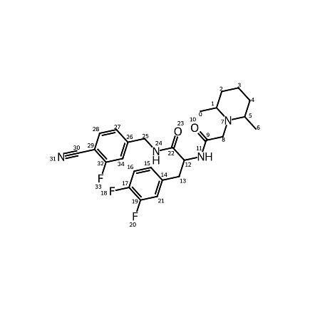 CC1CCCC(C)N1CC(=O)NC(Cc1ccc(F)c(F)c1)C(=O)NCc1ccc(C#N)c(F)c1